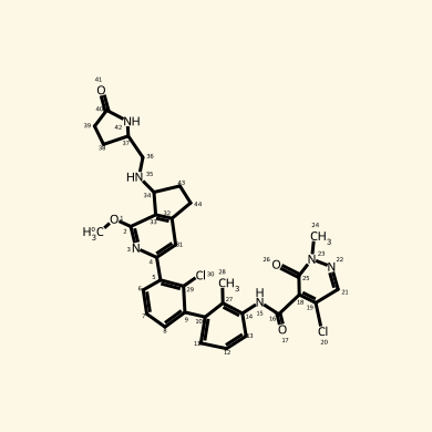 COc1nc(-c2cccc(-c3cccc(NC(=O)c4c(Cl)cnn(C)c4=O)c3C)c2Cl)cc2c1C(NCC1CCC(=O)N1)CC2